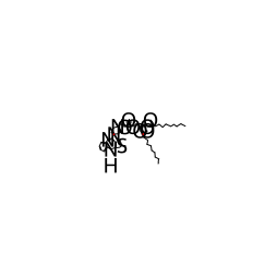 CCCCCCCCCC(=O)OC[C@@H](COC(=O)OC[N+]1(C)CCN(C2=Nc3ccccc3NC3=C2C=S(C)C3)CC1)OC(=O)CCCCCCCCC